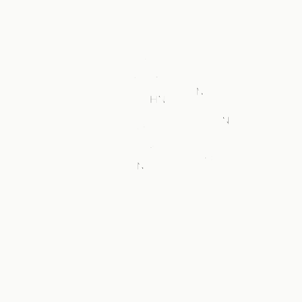 Cc1ccc(CNC(=O)c2c(C)oc3ncnc(NC4(C)CC4)c23)cc1